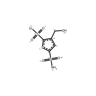 CCS(=O)(=O)c1sc(S(N)(=O)=O)cc1CO